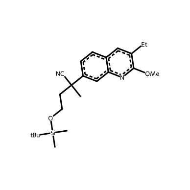 CCc1cc2ccc(C(C)(C#N)CCO[Si](C)(C)C(C)(C)C)cc2nc1OC